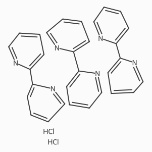 Cl.Cl.c1ccc(-c2ccccn2)nc1.c1ccc(-c2ccccn2)nc1.c1ccc(-c2ccccn2)nc1